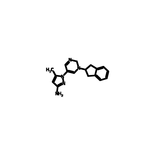 Cc1cc(N)nn1C1=CN(C2Cc3ccccc3C2)CN=C1